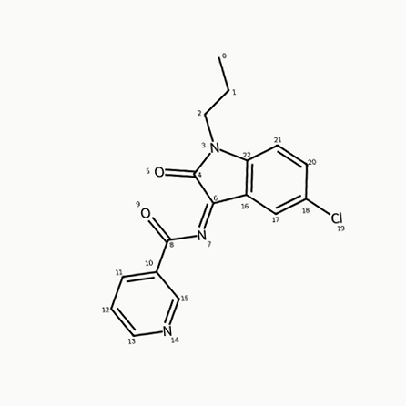 CCCN1C(=O)C(=NC(=O)c2cccnc2)c2cc(Cl)ccc21